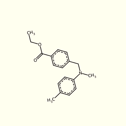 CCOC(=O)c1ccc(CN(C)c2ccc(C)cc2)cc1